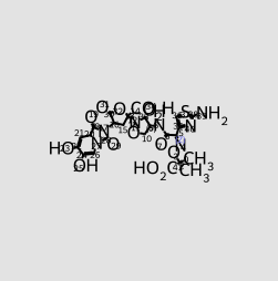 CC(C)(O/N=C(\C(=O)N[C@H]1CON(C2(C(=O)O)CC(N3C(=O)C4C=C(O)C(O)=CN4C3=O)C(=O)O2)C1=O)c1csc(N)n1)C(=O)O